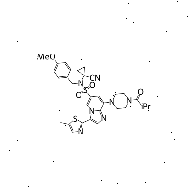 COc1ccc(CN(C2(C#N)CC2)S(=O)(=O)c2cc(N3CCN(C(=O)C(C)C)CC3)c3ncc(-c4ncc(C)s4)n3c2)cc1